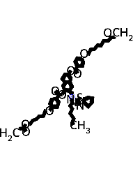 C=CC(=O)CCCCCCCOc1ccc(C(=O)Oc2ccc3cc(OC(=O)c4ccc(OCCCCCCOC(=O)C=C)cc4)c(/C=N/N(CCCCCC)c4nc5ccccc5s4)cc3c2)cc1